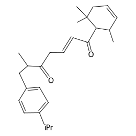 CC(Cc1ccc(C(C)C)cc1)C(=O)C/C=C/C(=O)C1C(C)C=CCC1(C)C